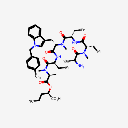 CCCC[C@H](N)C(=O)N(C)[C@@H](CC(C)C)C(=O)N[C@@H](CC(C)C)C(=O)N(C)[C@@H](Cc1cn(Cc2ccc(C(F)(F)F)cc2)c2ccccc12)C(=O)N[C@@H](CC(C)C)C(=O)N(C)[C@@H](C)C(=O)O[C@H](CCC#N)C(=O)O